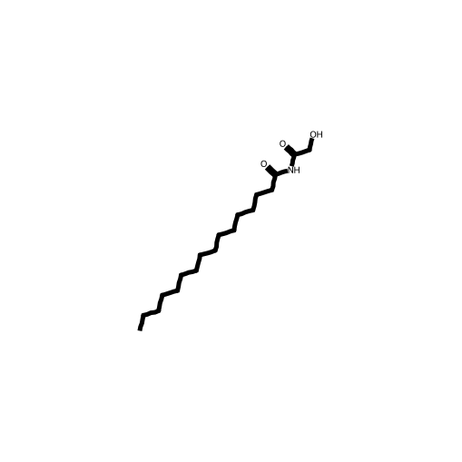 CCCCCCCCCCCCCCCC(=O)NC(=O)CO